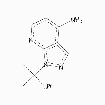 CCCC(C)(C)n1ncc2c(N)ccnc21